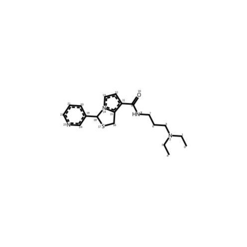 CCN(CC)CCCNC(=O)c1ccn2c1CSC2c1cccnc1